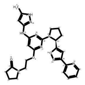 Cc1cc(Nc2cc(OCCN3CCCC3=O)nc(N3CCC[C@H]3c3cc(-c4ccccn4)no3)n2)n[nH]1